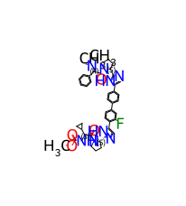 CCN(CC)[C@@H](C(=O)N1CCC[C@H]1c1ncc(-c2ccc(-c3ccc(-c4cnc([C@@H]5CCCN5C(=O)[C@@H](NC(=O)OC)C5CC5)[nH]4)c(F)c3)cc2)[nH]1)c1ccccc1